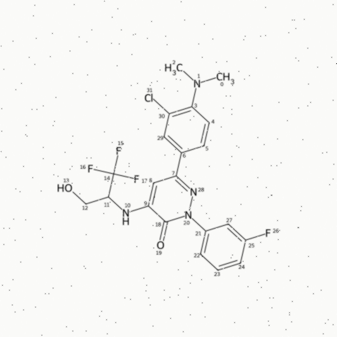 CN(C)c1ccc(-c2cc(NC(CO)C(F)(F)F)c(=O)n(-c3cccc(F)c3)n2)cc1Cl